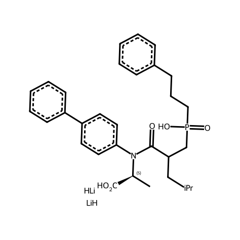 CC(C)CC(CP(=O)(O)CCCc1ccccc1)C(=O)N(c1ccc(-c2ccccc2)cc1)[C@@H](C)C(=O)O.[LiH].[LiH]